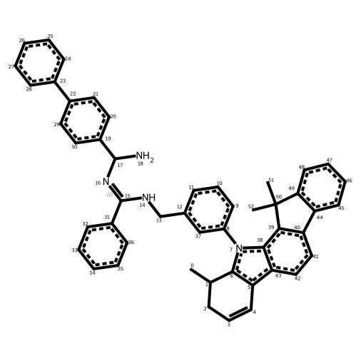 CC1CC=Cc2c1n(-c1cccc(CN/C(=N\C(N)c3ccc(-c4ccccc4)cc3)c3ccccc3)c1)c1c3c(ccc21)-c1ccccc1C3(C)C